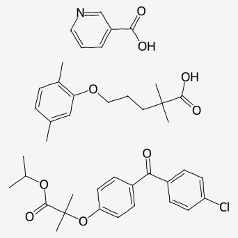 CC(C)OC(=O)C(C)(C)Oc1ccc(C(=O)c2ccc(Cl)cc2)cc1.Cc1ccc(C)c(OCCCC(C)(C)C(=O)O)c1.O=C(O)c1cccnc1